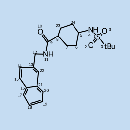 CC(C)(C)S(=O)(=O)NC1CCC(C(=O)NCc2ccc3ccccc3c2)CC1